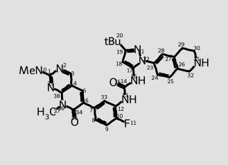 CNc1ncc2cc(-c3ccc(F)c(NC(=O)Nc4cc(C(C)(C)C)nn4-c4ccc5c(c4)CCNC5)c3)c(=O)n(C)c2n1